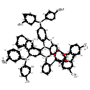 CC(C)(C)c1ccc(N(c2cccc(C(C)(C)C)c2)c2ccc3c(c2)Oc2cc(-n4c5ccc(C(F)(F)F)cc5c5cc(C(F)(F)F)ccc54)cc4c2B3c2c(cc(N(c3ccc(C(C)(C)C)cc3)c3cccc(C(C)(C)C)c3)c3c2oc2ccccc23)N4c2ccccc2-c2ccccc2)cc1